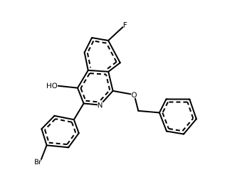 Oc1c(-c2ccc(Br)cc2)nc(OCc2ccccc2)c2cc(F)ccc12